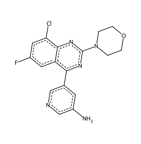 Nc1cncc(-c2nc(N3CCOCC3)nc3c(Cl)cc(F)cc23)c1